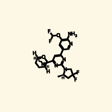 C[C@@H]1CC(F)(F)CN1c1nc(-c2cnc(N)c(OC(F)F)c2)cc(N2C[C@@H]3CC[C@H]2CO3)n1